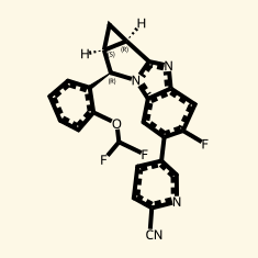 N#Cc1ccc(-c2cc3c(cc2F)nc2n3[C@@H](c3ccccc3OC(F)F)[C@H]3C[C@@H]23)cn1